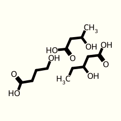 CC(O)CC(=O)O.CCC(O)CC(=O)O.O=C(O)CCCO